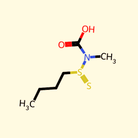 CCCCS(=S)N(C)C(=O)O